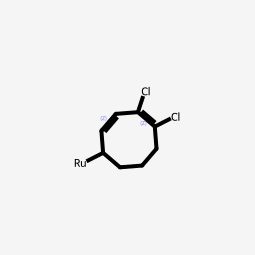 ClC1=C(\Cl)CCC[CH]([Ru])/C=C\1